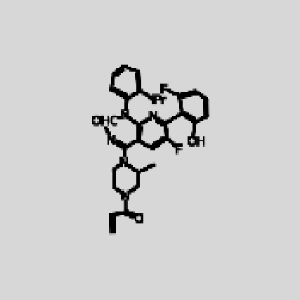 C=CC(=O)N1CCN(/C(=N/C)c2cc(F)c(-c3c(O)cccc3F)nc2N(C=O)c2ccccc2C(C)C)C(C)C1